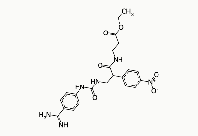 CCOC(=O)CCNC(=O)C(CNC(=O)Nc1ccc(C(=N)N)cc1)c1ccc([N+](=O)[O-])cc1